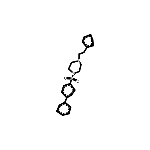 O=S(=O)(c1ccc(-c2ccccc2)cc1)N1CCN(CCc2ccccc2)CC1